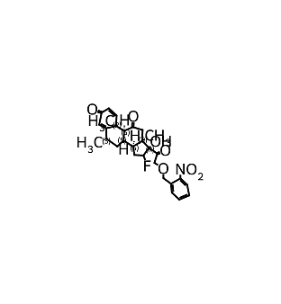 C[C@H]1C[C@@H]2[C@H](C(=O)C[C@@]3(C)[C@H]2CC(F)[C@]3(O)C(=O)COCc2ccccc2[N+](=O)[O-])[C@@]2(C)C=CC(=O)C=C12